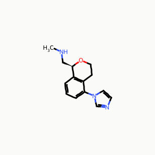 CNC[C@H]1OCCc2c1cccc2-n1ccnc1